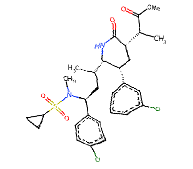 COC(=O)C(C)[C@@H]1C[C@H](c2cccc(Cl)c2)[C@H](C(C)C[C@@H](c2ccc(Cl)cc2)N(C)S(=O)(=O)C2CC2)NC1=O